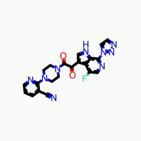 N#Cc1cccnc1N1CCN(C(=O)C(=O)c2c[nH]c3c(-n4ccnn4)ncc(F)c23)CC1